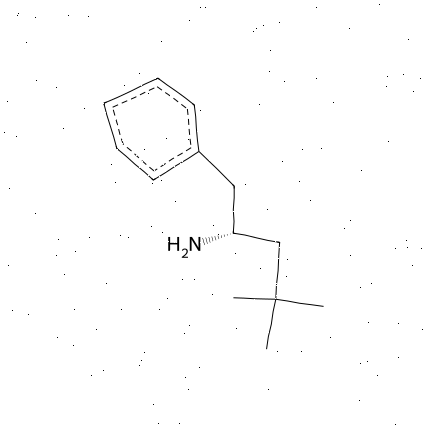 CC(C)(C)C[C@H](N)Cc1ccccc1